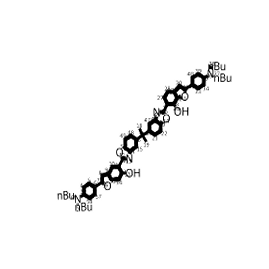 CCCCN(CCCC)c1ccc(-c2cc3cc(-c4nc5cc(C(C)(C)c6ccc7oc(-c8ccc9cc(-c%10ccc(N(CCCC)CCCC)cc%10)oc9c8O)nc7c6)ccc5o4)c(O)cc3o2)cc1